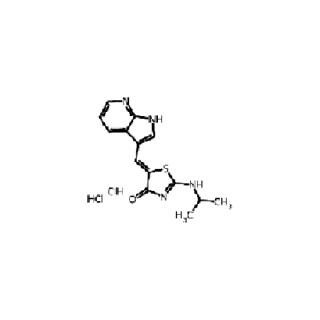 CC(C)NC1=NC(=O)/C(=C/c2c[nH]c3ncccc23)S1.Cl.Cl